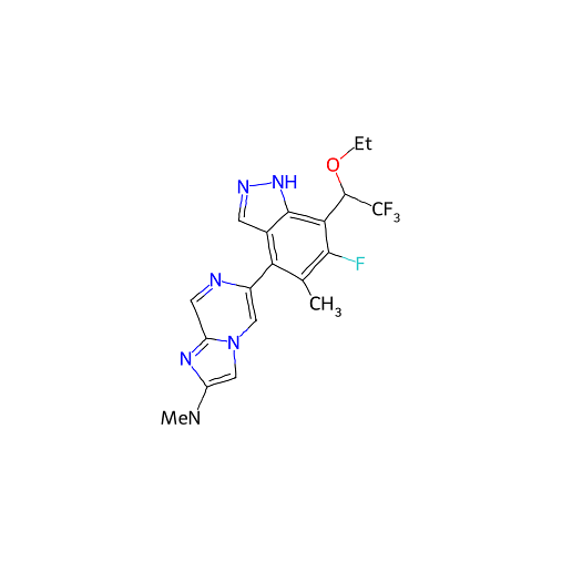 CCOC(c1c(F)c(C)c(-c2cn3cc(NC)nc3cn2)c2cn[nH]c12)C(F)(F)F